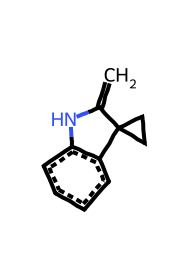 C=C1Nc2ccccc2C12CC2